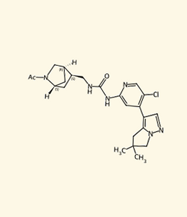 CC(=O)N1C[C@@H]2C[C@@H]1C[C@@H]2CNC(=O)Nc1cc(-c2cnn3c2CC(C)(C)C3)c(Cl)cn1